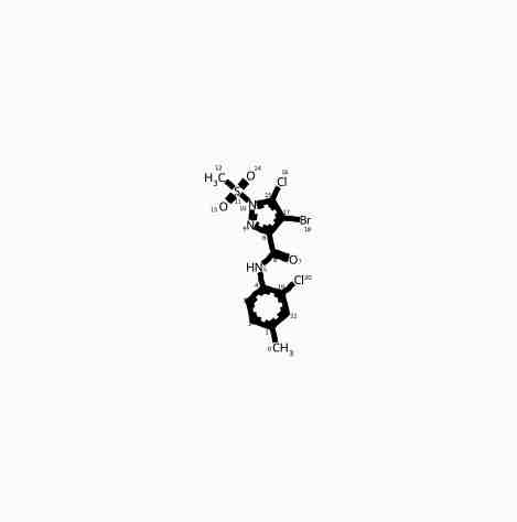 Cc1ccc(NC(=O)c2nn(S(C)(=O)=O)c(Cl)c2Br)c(Cl)c1